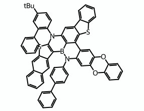 CC(C)(C)c1ccc(N2c3cc4c(sc5ccccc54)c4c3B(c3c2sc2cc5ccccc5cc32)N(c2ccc(-c3ccccc3)cc2)c2cc3c(cc2-4)Oc2ccccc2O3)c(-c2ccccc2)c1